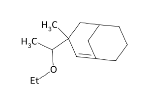 CCOC(C)C1(C)C=C2CCCC(C2)C1